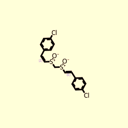 [O-][S+](/C=C\c1ccc(Cl)cc1)C[S+]([O-])/C=C/c1ccc(Cl)cc1